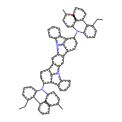 CCc1cccc(N(c2ccc(C)cc2)c2ccc3c4cc5c(cc4n4c6ccccc6c2c34)c2ccc(N(c3ccc(C)cc3)c3cccc(CC)c3-c3ccccc3)c3c4ccccc4n5c23)c1-c1ccccc1